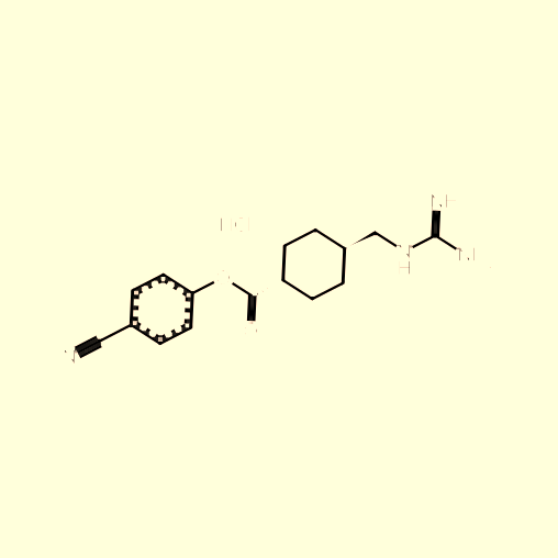 Cl.N#Cc1ccc(OC(=O)[C@H]2CC[C@H](CNC(=N)N)CC2)cc1